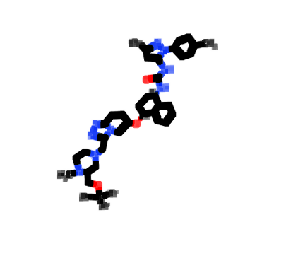 Cc1ccc(-n2nc(C(C)(C)C)cc2NC(=O)N[C@H]2CC[C@@H](Oc3ccc4nnc(CN5CCN(C)C(CO[Si](C(C)C)(C(C)C)C(C)C)C5)n4c3)c3ccccc32)cc1